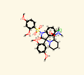 COc1ccc(S(=O)(=O)N2C(=O)C(c3cc(OC)ccc3OC)(N3CCCCC3C(=O)N(C)C)c3cc(Cl)ccc32)c(OC)c1